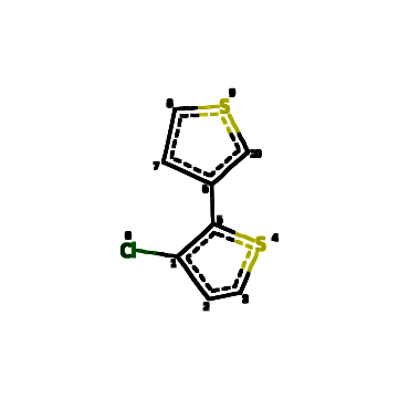 Clc1ccsc1-c1ccsc1